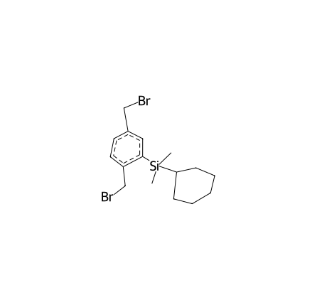 C[Si](C)(c1cc(CBr)ccc1CBr)C1CCCCC1